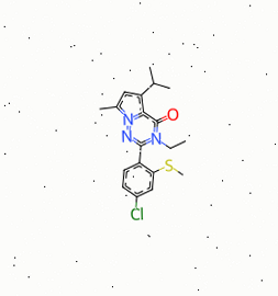 CCn1c(-c2ccc(Cl)cc2SC)nn2c(C)cc(C(C)C)c2c1=O